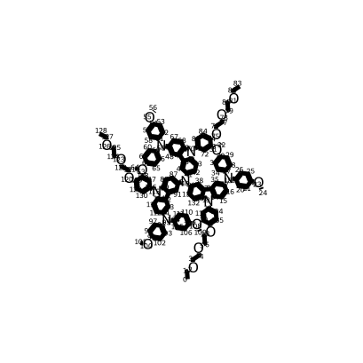 CCOCCOCCOc1ccc(-n2c3ccc(N(c4ccc(OC)cc4)c4ccc(OC)cc4)cc3c3cc(N(c4ccc5c(c4)c4cc(N(c6ccc(OC)cc6)c6ccc(OC)cc6)ccc4n5-c4ccc(OCCOCCOCC)cc4)c4ccc5c(c4)c4cc(N(c6ccc(OC)cc6)c6ccc(OC)cc6)ccc4n5-c4ccc(OCCOCCOCC)cc4)ccc32)cc1